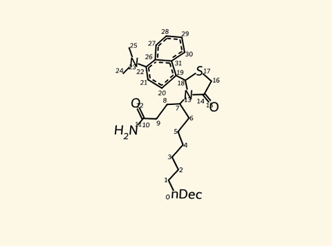 CCCCCCCCCCCCCCCCC(CCC(N)=O)N1C(=O)CSC1c1ccc(N(C)C)c2ccccc12